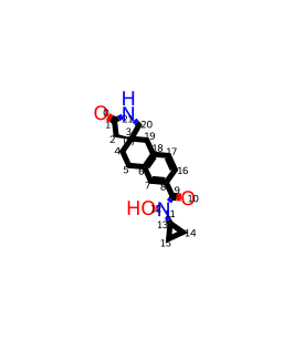 O=C1C[C@@]2(CCc3cc(C(=O)N(O)C4CC4)ccc3C2)CN1